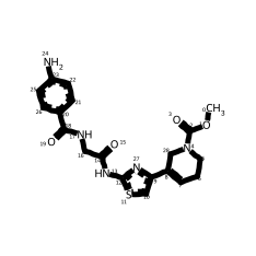 COC(=O)N1CCC=C(c2csc(NC(=O)CNC(=O)c3ccc(N)cc3)n2)C1